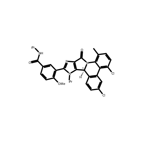 COc1ccc(C(=O)NC(C)C)cc1-c1nc2c(n1C(C)C)[C@@H]1c3ccc(Cl)cc3-c3c(Cl)ccc(C)c3N1C2=O